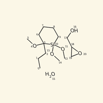 CCCC1(OC)CCCC[Si]1(OC)OC.O.OCC1CO1